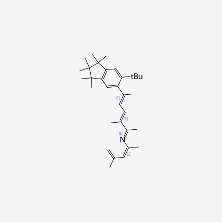 C=C(C)\C=C(C)/N=C(C)/C(C)=C/C=C(\C)c1cc2c(cc1C(C)(C)C)C(C)(C)C(C)(C)C2(C)C